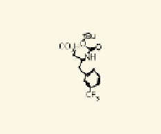 CC(C)(C)OC(=O)NC(CC(=O)O)Cc1cccc(C(F)(F)F)c1